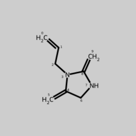 C=CCN1C(=C)CNC1=C